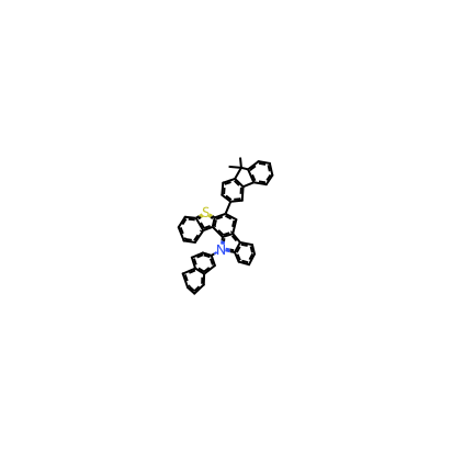 CC1(C)c2ccccc2-c2cc(-c3cc4c5ccccc5n(-c5ccc6ccccc6c5)c4c4c3sc3ccccc34)ccc21